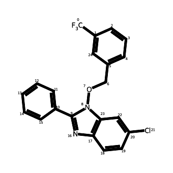 FC(F)(F)c1cccc(COn2c(-c3ccccc3)nc3ccc(Cl)cc32)c1